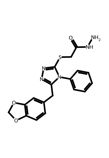 NNC(=O)CSc1nnc(Cc2ccc3c(c2)OCO3)n1-c1ccccc1